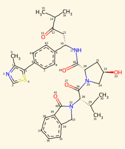 Cc1ncsc1-c1ccc([C@H](CC(=O)C(C)C)NC(=O)[C@@H]2C[C@@H](O)CN2C(=O)[C@H](C(C)C)N2Cc3ccccc3C2=O)cc1